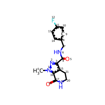 Cn1nc(C(=O)NCc2ccc(F)cc2)c2c1C(=O)NCC2